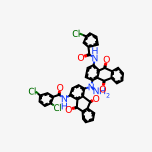 NN(c1ccc(NC(=O)c2cccc(Cl)c2)c2c1C(=O)c1ccccc1C2=O)c1ccc(NC(=O)c2cc(Cl)ccc2Cl)c2c1C(=O)c1ccccc1C2=O